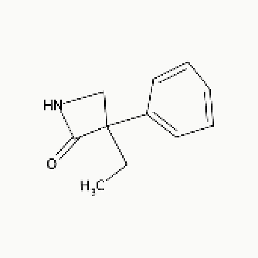 CCC1(c2ccccc2)CNC1=O